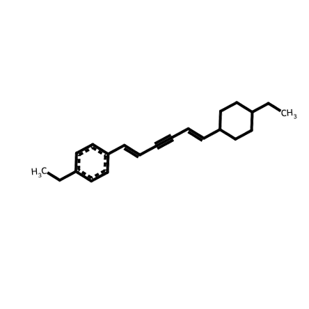 CCc1ccc(C=CC#CC=CC2CCC(CC)CC2)cc1